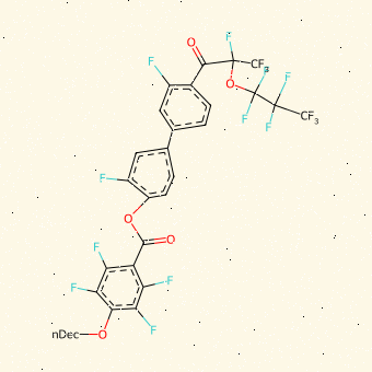 CCCCCCCCCCOc1c(F)c(F)c(C(=O)Oc2ccc(-c3ccc(C(=O)C(F)(OC(F)(F)C(F)(F)C(F)(F)F)C(F)(F)F)c(F)c3)cc2F)c(F)c1F